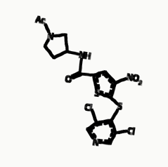 CC(=O)N1CCC(NC(=O)c2cc([N+](=O)[O-])c(Sc3c(Cl)cncc3Cl)s2)C1